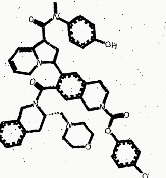 CN(C(=O)C1CC(c2cc3c(cc2C(=O)N2Cc4ccccc4C[C@H]2CN2CCOCC2)CN(C(=O)Oc2ccc(Cl)cc2)CC3)N2CC=CC=C12)c1ccc(O)cc1